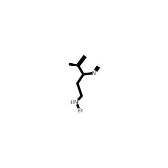 C=NC(CCNCC)C(=C)C